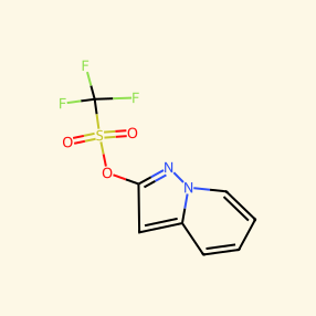 O=S(=O)(Oc1cc2ccccn2n1)C(F)(F)F